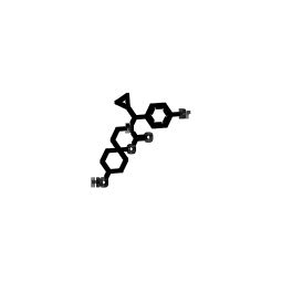 O=C1OC2(CCC(O)CC2)CCN1C(c1ccc(Br)cc1)C1CC1